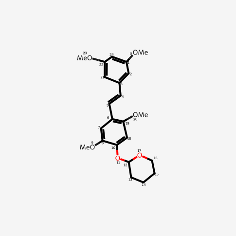 COc1cc(/C=C/c2cc(OC)c(OC3CCCCO3)cc2OC)cc(OC)c1